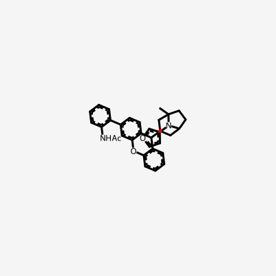 CC(=O)Nc1ccccc1-c1ccc2c(c1)Oc1ccccc1C2C1CC2CCC(C)(C1)N2c1ccoc1